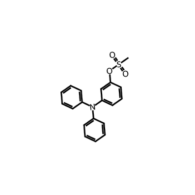 CS(=O)(=O)Oc1cccc(N(c2ccccc2)c2ccccc2)c1